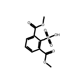 COC(=O)c1c[c]cc(C(=O)OC)c1S(=O)(=O)O